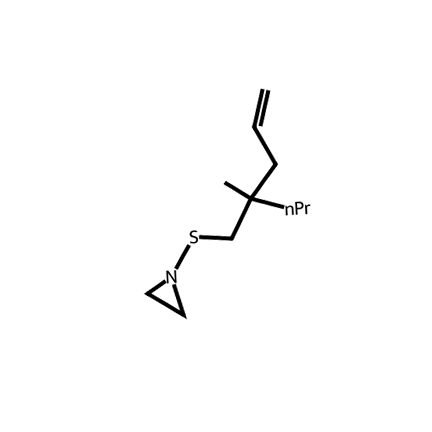 C=CCC(C)(CCC)CSN1CC1